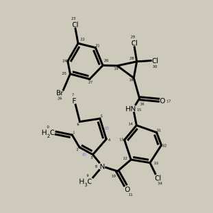 C=C/C=C(\C=C/CF)N(C)C(=O)c1cc(NC(=O)C2C(c3cc(Cl)cc(Br)c3)C2(Cl)Cl)ccc1Cl